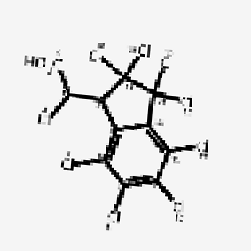 O=C(O)C(Cl)C1c2c(Cl)c(Cl)c(Cl)c(Cl)c2C(Cl)(Cl)C1(Cl)Cl